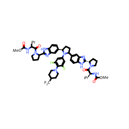 COC(=O)NC(C(=O)N1CCCC1c1nc2cc([C@H]3CCC(c4ccc5[nH]c([C@@H]6CCCN6C(=O)[C@@H](NC(=O)OC)C(C)C)nc5c4)N3c3cc(F)c(N4CCC(C(F)(F)F)CC4)c(F)c3)ccc2[nH]1)C(C)C